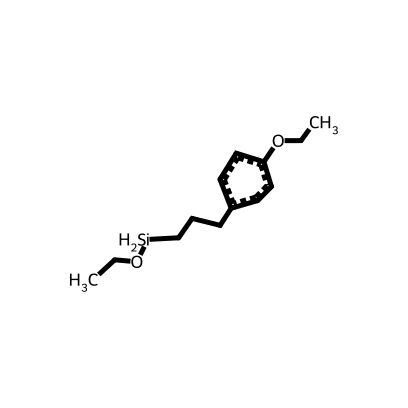 CCO[SiH2]CCCc1ccc(OCC)cc1